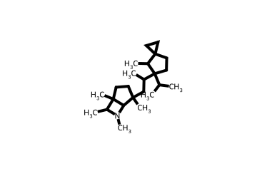 CC1N(C)C2C(C)(CC(C)C3(C(C)C)CCC4(CC4)C3C)CCC12C